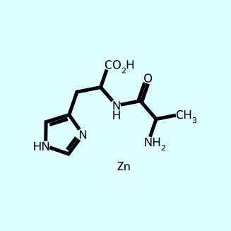 CC(N)C(=O)NC(Cc1c[nH]cn1)C(=O)O.[Zn]